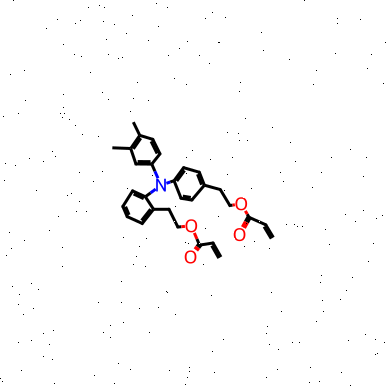 C=CC(=O)OCCc1ccc(N(c2ccc(C)c(C)c2)c2ccccc2CCOC(=O)C=C)cc1